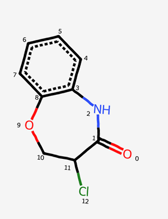 O=C1Nc2ccccc2OCC1Cl